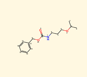 CC(C)OCCCNC(=O)OCc1ccccc1